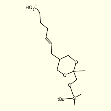 CC1(CO[Si](C)(C)C(C)(C)C)OCC(CC=CCCCC(=O)O)CO1